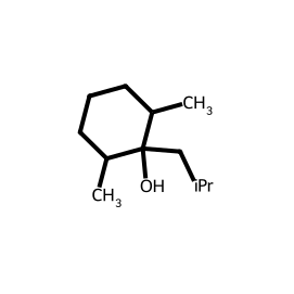 CC(C)CC1(O)C(C)CCCC1C